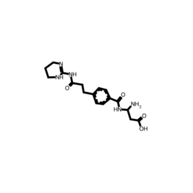 NC(CC(=O)O)NC(=O)c1ccc(CCC(=O)NC2=NCCCN2)cc1